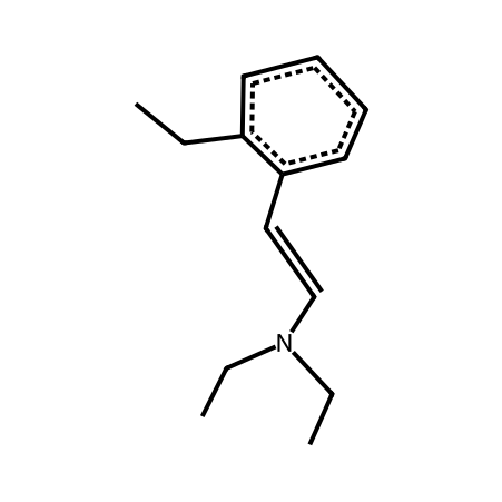 CCc1ccccc1C=CN(CC)CC